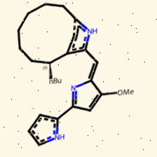 CCCC[C@H]1CCCCCCc2cc1c(C=C1N=C(c3ccc[nH]3)C=C1OC)[nH]2